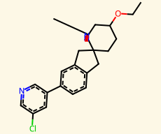 CCOC1CCC2(Cc3ccc(-c4cncc(Cl)c4)cc3C2)C2(C1)N=CC(C)=N2